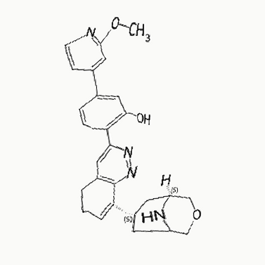 COc1cc(-c2ccc(-c3cc4c(nn3)C([C@H]3CC5COC[C@H](C3)N5)=CCC4)c(O)c2)ccn1